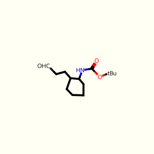 CC(C)(C)OC(=O)NC1CCCCC1CCC=O